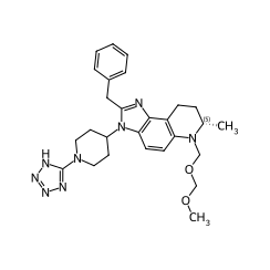 COCOCN1c2ccc3c(nc(Cc4ccccc4)n3C3CCN(c4nnn[nH]4)CC3)c2CC[C@@H]1C